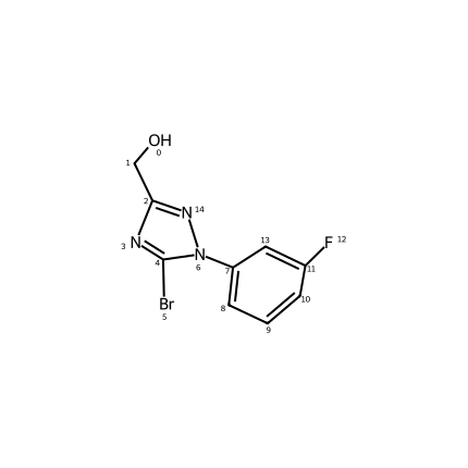 OCc1nc(Br)n(-c2cccc(F)c2)n1